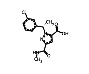 CNC(=O)c1cc(C(=O)O)n([C@@H](C)c2cccc(Cl)c2)n1